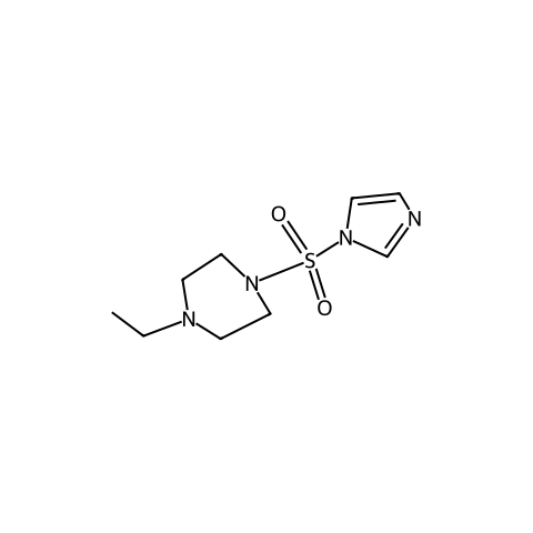 CCN1CCN(S(=O)(=O)n2ccnc2)CC1